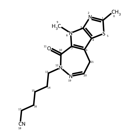 Cc1nc2c(s1)c1c(n2C)C(=O)N(CCCCCC#N)N=CC1